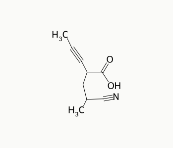 CC#CC(CC(C)C#N)C(=O)O